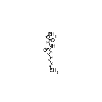 CCCCCCCC(=O)NCC(=O)OC